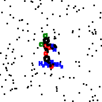 Nc1nc(C2(N)C=CC(OCC3COC(Cn4ccnc4)(c4ccc(Cl)cc4Cl)O3)=CC2)no1